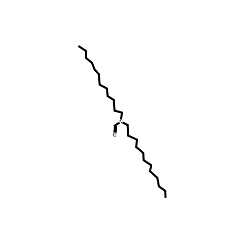 CCCCCCCCCCCCN([C]=O)CCCCCCCCCCCC